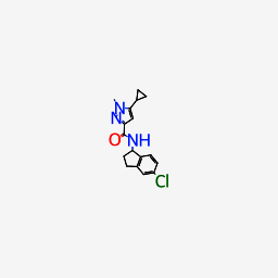 Cn1nc(C(=O)N[C@@H]2CCc3cc(Cl)ccc32)cc1C1CC1